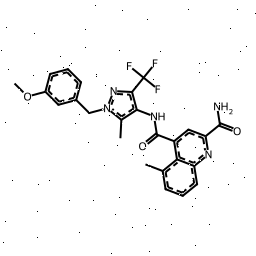 COc1cccc(Cn2nc(C(F)(F)F)c(NC(=O)c3cc(C(N)=O)nc4cccc(C)c34)c2C)c1